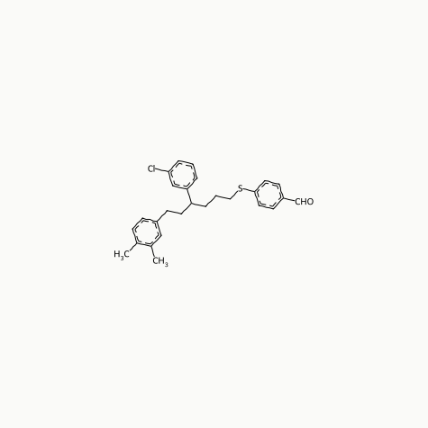 Cc1ccc(CCC(CCCSc2ccc(C=O)cc2)c2cccc(Cl)c2)cc1C